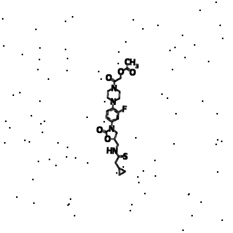 CC(=O)OCC(=O)N1CCN(c2ccc(N3CC(CNC(=S)CC4CC4)OC3=O)cc2F)CC1